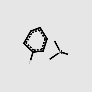 CN(C)C.Ic1ccccc1